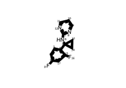 Fc1ccc(C2(Nc3ncccn3)CC2)c(F)c1